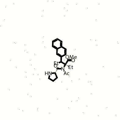 CCC(c1ccc2ccccc2c1)[C@@](CC)(C(=O)OC)N(C(C)=O)C(=O)[C@@H]1CCCN1